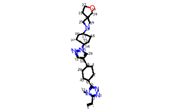 C=Cc1nnc(C2CCC(c3cnn(C4CCC(N5CC6(CCOC6)C5)CC4)c3)CC2)n1C